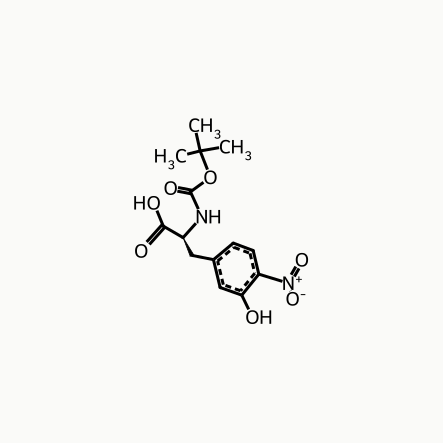 CC(C)(C)OC(=O)N[C@@H](Cc1ccc([N+](=O)[O-])c(O)c1)C(=O)O